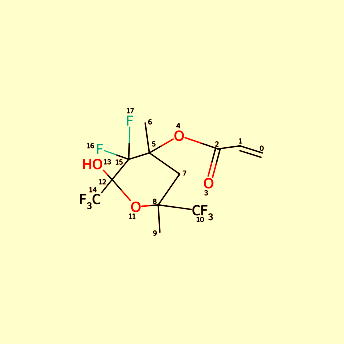 C=CC(=O)OC1(C)CC(C)(C(F)(F)F)OC(O)(C(F)(F)F)C1(F)F